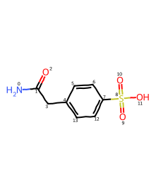 NC(=O)Cc1ccc(S(=O)(=O)O)cc1